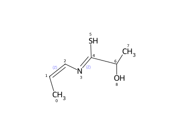 C/C=C\N=C(/S)C(C)O